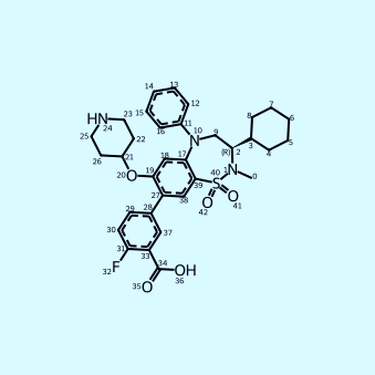 CN1[C@H](C2CCCCC2)CN(c2ccccc2)c2cc(OC3CCNCC3)c(-c3ccc(F)c(C(=O)O)c3)cc2S1(=O)=O